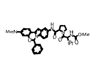 CNc1ccc2c(c1)OC(c1ccccc1)n1c-2cc2cc(NC(=O)C3CCCN3C(=O)C(NC(=O)OC)C(C)C)ccc21